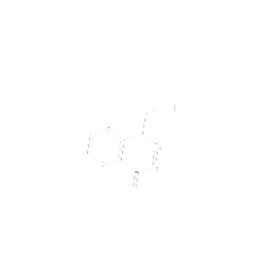 O=C1N=NC(CO)c2ccccc21